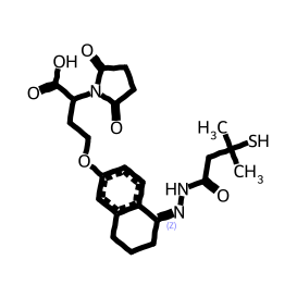 CC(C)(S)CC(=O)N/N=C1/CCCc2cc(OCCC(C(=O)O)N3C(=O)CCC3=O)ccc21